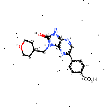 O=C(O)c1ccc(-c2cnc3[nH]c(=O)n(CC4CCOCC4)c3n2)cc1